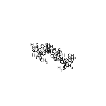 CCNC(=O)[C@H](NC(=O)C(C)(COC)c1ccc2[nH]c(C(NC(=O)OC)C(OCCCOC(=O)N[C@H](c3nc4cc(C(C)(COC)C(=O)N[C@@H](C(=O)NCC)C5CCC5)ccc4[nH]3)C(C3CCCCC3)C3(C)CC3)c3ccccc3Cl)nc2c1)C1CCC1